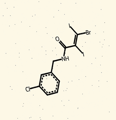 O=C(NCc1cccc(Cl)c1)/C(I)=C(/Br)I